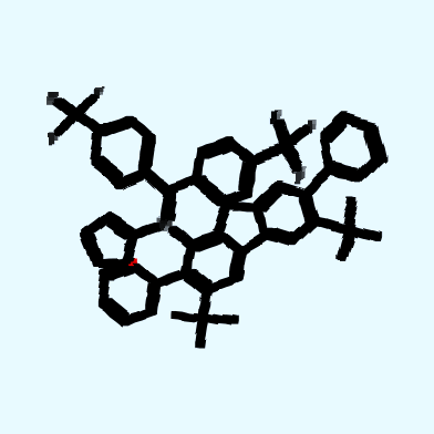 CC(C)(C)c1cc2c(cc1-c1ccccc1)Cc1c-2cc(C(C)(C)C)c(-c2ccccc2)[c]1[Zr]([C]1=CC=CC1)=[C](c1ccc(C(F)(F)F)cc1)c1ccc(C(F)(F)F)cc1